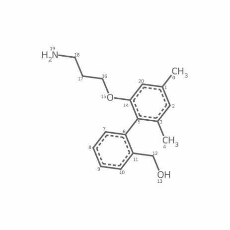 Cc1cc(C)c(-c2ccccc2CO)c(OCCCN)c1